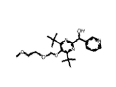 COCCOCOc1c(C(C)(C)C)nc(C(O)c2cccnc2)nc1C(C)(C)C